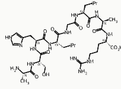 CC(C)C[C@H](NC(=O)CNC(=O)[C@H](CC(C)C)NC(=O)[C@H](Cc1c[nH]cn1)NC(=O)[C@H](CO)NC(=O)[C@H](C)N)C(=O)N[C@@H](C)C(=O)N[C@@H](CCCNC(=N)N)C(=O)O